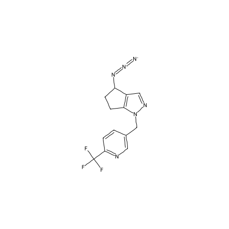 [N-]=[N+]=NC1CCc2c1cnn2Cc1ccc(C(F)(F)F)nc1